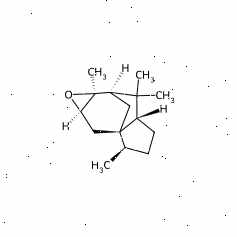 C[C@@H]1CC[C@H]2C(C)(C)[C@H]3C[C@@]12C[C@H]1O[C@@]31C